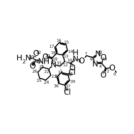 COC(=O)c1nc(CONC(=O)[C@@H]2c3ccccc3C(=O)N([C@H]3CCCC[C@@H]3NS(N)(=O)=O)[C@H]2c2ccc(Cl)cc2Cl)no1